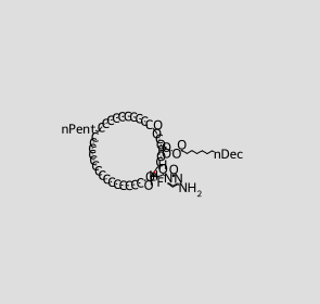 CCCCCCCCCCCCCCCCC(=O)OCOP1(=O)OCOC(=O)CCCCCCCCCCC(CCCCC)CCCCCCCCCCCCCCCC(=O)O[C@@H]2[C@@H](CO1)O[C@@H](n1ccc(N)nc1=O)C2(F)F